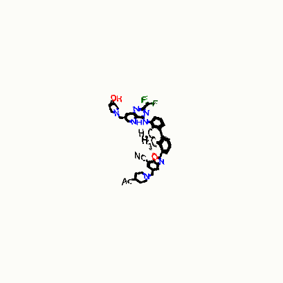 CC(=O)C1CCN(Cc2cc(C#N)c3oc(-c4cccc(-c5cccc(Nc6nc(C(F)F)nc7cc(CN8CC[C@@H](O)C8)cnc67)c5C)c4C)nc3c2)CC1